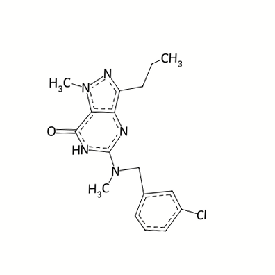 CCCc1nn(C)c2c(=O)[nH]c(N(C)Cc3cccc(Cl)c3)nc12